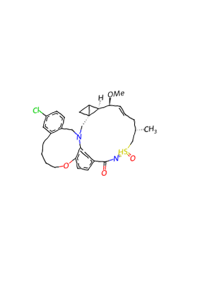 CO[C@H]1/C=C/C[C@H](C)C/[SH](=O)=N\C(=O)c2ccc3c(c2)N(Cc2ccc(Cl)cc2CCCCO3)C[C@]23CC2[C@@H]13